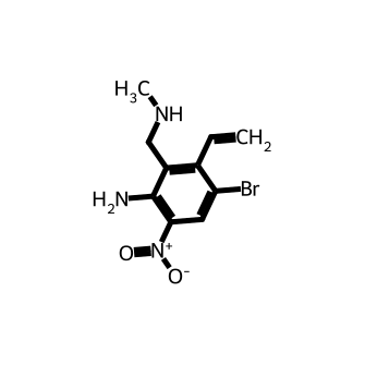 C=Cc1c(Br)cc([N+](=O)[O-])c(N)c1CNC